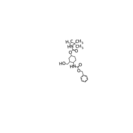 CC(C)(C)NC(=O)OC1CCC(NC(=O)OCc2ccccc2)C(CO)C1